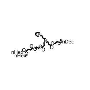 CCCCCCCCCCSSCCOC(=O)CCN(CCCN1CCCC1)CCC(=O)OCCOC(=O)CCC(OCCCCCC)OCCCCCC